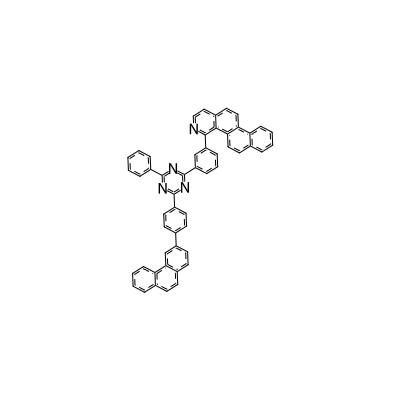 c1ccc(-c2nc(-c3ccc(-c4ccc5ccc6ccccc6c5c4)cc3)nc(-c3cccc(-c4nccc5ccc6c7ccccc7ccc6c45)c3)n2)cc1